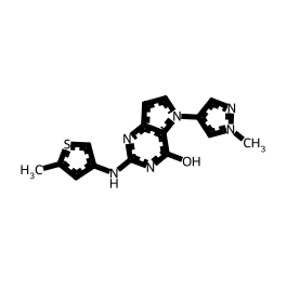 Cc1cc(Nc2nc(O)c3c(ccn3-c3cnn(C)c3)n2)cs1